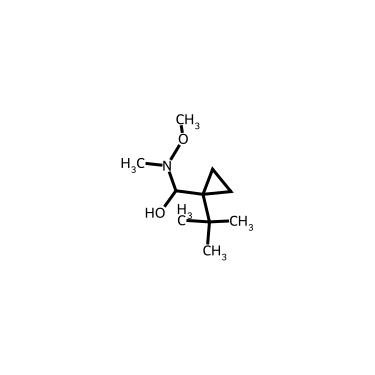 CON(C)C(O)C1(C(C)(C)C)CC1